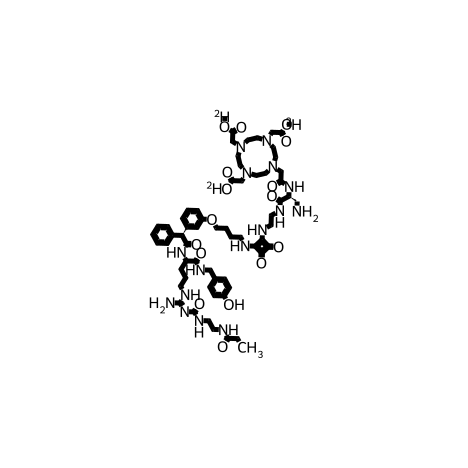 [2H]OC(=O)CN1CCN(CC(=O)N[C@H](CN)C(=O)NCCNc2c(NCCCCOc3cccc([C@H](C(=O)NC(CCCN/C(N)=N\C(=O)NCCNC(=O)CC)C(=O)NCc4ccc(O)cc4)c4ccccc4)c3)c(=O)c2=O)CCN(CC(=O)O[2H])CCN(CC(=O)O[2H])CC1